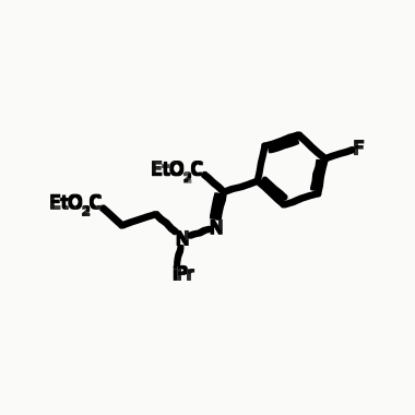 CCOC(=O)CCN(N=C(C(=O)OCC)c1ccc(F)cc1)C(C)C